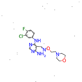 Nc1ncnc(Nc2ccc(F)c(Cl)c2)c1C=NOCCN1CCOCC1